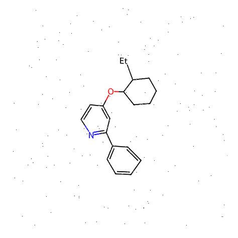 CCC1CCCCC1Oc1ccnc(-c2ccccc2)c1